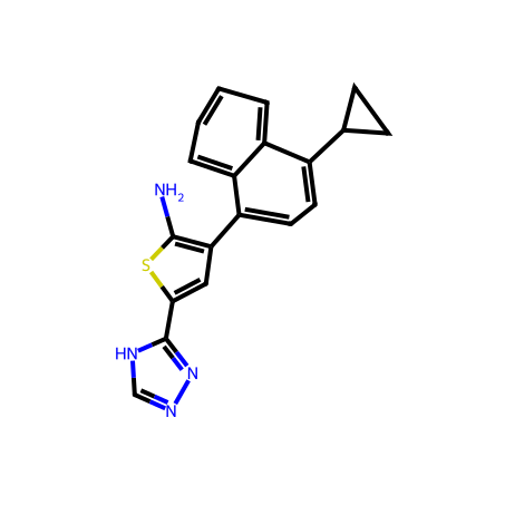 Nc1sc(-c2nnc[nH]2)cc1-c1ccc(C2CC2)c2ccccc12